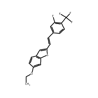 CCOc1ccc2cc(/C=C/c3ccc(C(F)(F)F)c(F)c3)sc2c1